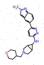 Cn1cc2cc(-c3ccc(NC4C5CN(CC6CCOCC6)CC54)nn3)ccc2n1